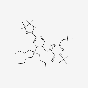 CCC[CH2][Sn]([CH2]CCC)([CH2]CCC)[c]1cc(B2OC(C)(C)C(C)(C)O2)ccc1C[C@H](NC(=O)OC(C)(C)C)C(=O)OC(C)(C)C